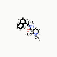 C[C@@H]1[C@@H](C(=O)NC(C)(C)c2cccc3ccccc23)CCCN1C